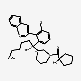 COCCCC[C@@](O)(c1cccc(Cl)c1-c1cnc2ccccc2c1)[C@@H]1CCCN(C(=O)C2(O)CCCC2)C1